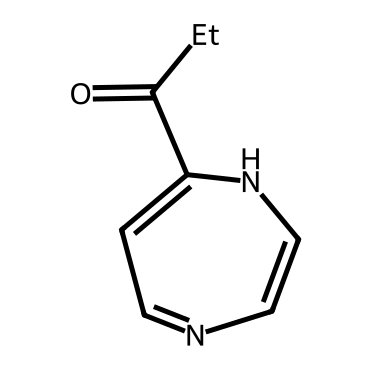 CCC(=O)C1=CC=NC=CN1